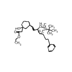 CCOC(=O)CC1(O)CCCC(C=CC(CCCCc2ccccc2)O[Si](C)(C)C(C)(C)C)C1